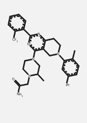 Cc1ccc(C(C)C)cc1N1CCc2nc(-c3ccccc3C(F)(F)F)nc(N3CCN(CC(N)=O)C(C)C3)c2C1